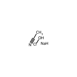 CC#N.OCl.[NaH]